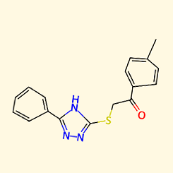 Cc1ccc(C(=O)CSc2nnc(-c3ccccc3)[nH]2)cc1